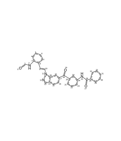 O=CNc1ccccc1C=Cn1ncc2ccc(C(=O)c3cccc(NC(=O)c4ccccc4)c3)cc21